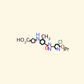 Cc1cc(-c2nc(-c3cnc(OC(C)C)c(Cl)c3)no2)ccc1N[C@H]1CC[C@@H](C(=O)O)C1